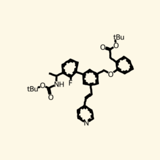 CC(NC(=O)OC(C)(C)C)c1cccc(-c2cc(C=Cc3ccncc3)cc(COc3ccccc3CC(=O)OC(C)(C)C)c2)c1F